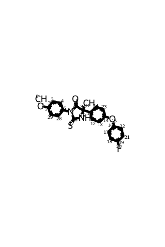 COc1ccc(N2C(=O)C(C)(c3ccc(Oc4ccc(F)cc4)cc3)NC2=S)cc1